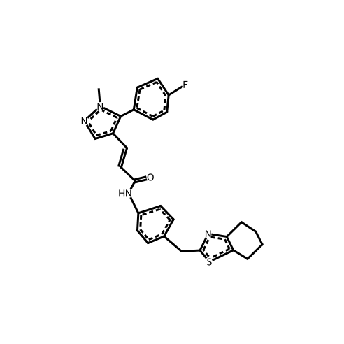 Cn1ncc(C=CC(=O)Nc2ccc(Cc3nc4c(s3)CCCC4)cc2)c1-c1ccc(F)cc1